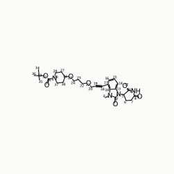 Cn1c(=O)n(C2CCC(=O)NC2=O)c2cccc(C#CCOCCCOC3CCN(C(=O)OC(C)(C)C)CC3)c21